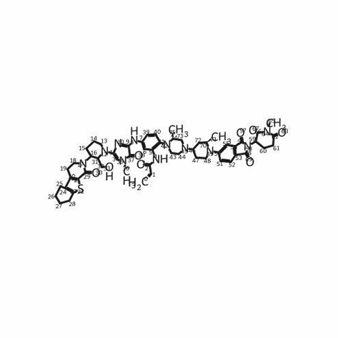 C=CC(=O)Nc1cc(Nc2nc(N3CCCC(N4CCc5c(sc6c5CCCC6)C4=O)C3CO)cn(C)c2=O)ccc1N1CCN(C2CCN(c3ccc4c(c3)C(=O)N(C3CCC(=O)N(C)C3=O)C4=O)[C@H](C)C2)C[C@@H]1C